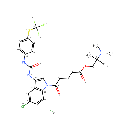 CN(C)C(C)(C)COC(=O)CCCC(=O)n1cc(NC(=O)Nc2ccc(SC(F)(F)F)cc2)c2cc(Cl)ccc21.Cl